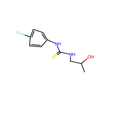 CC(O)CNC(=S)Nc1ccc(F)cc1